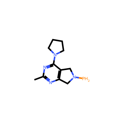 Cc1nc2c(c(N3CCCC3)n1)CN(P)C2